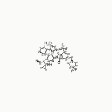 Cn1cnnc1-c1ccncc1-c1cc(NC2(CC#N)CC2)nc(N2Cc3c(cc(CN4CCC(F)(F)CC4)cc3C(F)(F)F)C2=O)c1